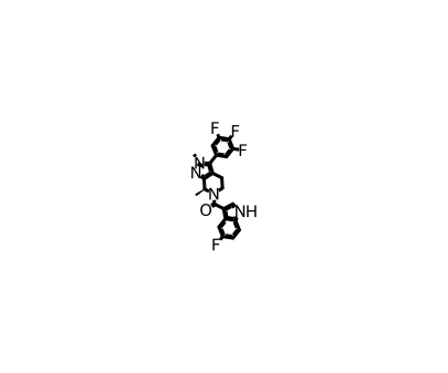 C[C@H]1c2nn(C)c(-c3cc(F)c(F)c(F)c3)c2CCN1C(=O)c1c[nH]c2ccc(F)cc12